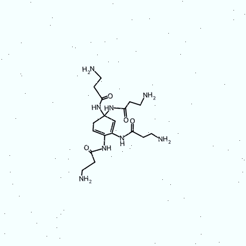 NCCC(=O)NC1=CCC(NC(=O)CCN)(NC(=O)CCN)C=C1NC(=O)CCN